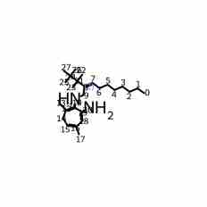 CCCCCCC/C=C(\CNC1=C(C)CC=C(C)C=C1N)C(C)(C)C(C)(C)C